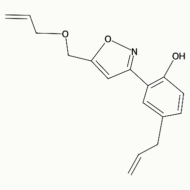 C=CCOCc1cc(-c2cc(CC=C)ccc2O)no1